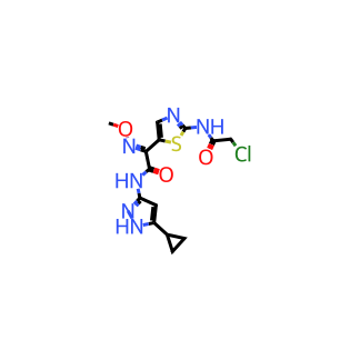 CON=C(C(=O)Nc1cc(C2CC2)[nH]n1)c1cnc(NC(=O)CCl)s1